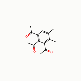 CC(=O)c1cc(C)c(C)c(C(C)=O)c1C(C)=O